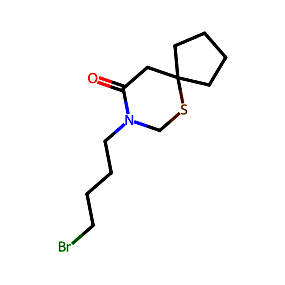 O=C1CC2(CCCC2)SCN1CCCCBr